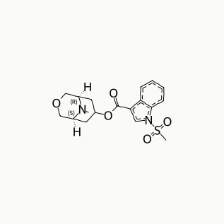 CN1[C@@H]2COC[C@H]1CC(OC(=O)c1cn(S(C)(=O)=O)c3ccccc13)C2